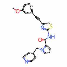 COc1cccc(C#Cc2csc(NC(=O)c3cccn3Cc3ccncc3)n2)c1